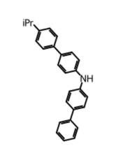 CC(C)c1ccc(-c2ccc(Nc3ccc(-c4ccccc4)cc3)cc2)cc1